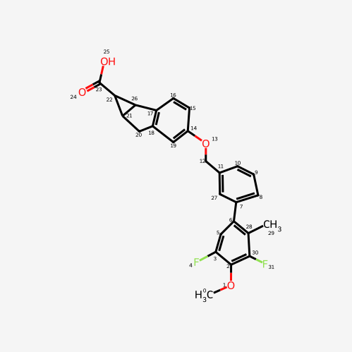 COc1c(F)cc(-c2cccc(COc3ccc4c(c3)CC3C(C(=O)O)C43)c2)c(C)c1F